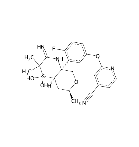 C[C@H]1C[C@@H]2[C@](c3cc(Oc4cc(C#N)ccn4)ccc3F)(CO1)NC(=N)C(C)(C)S2(O)O